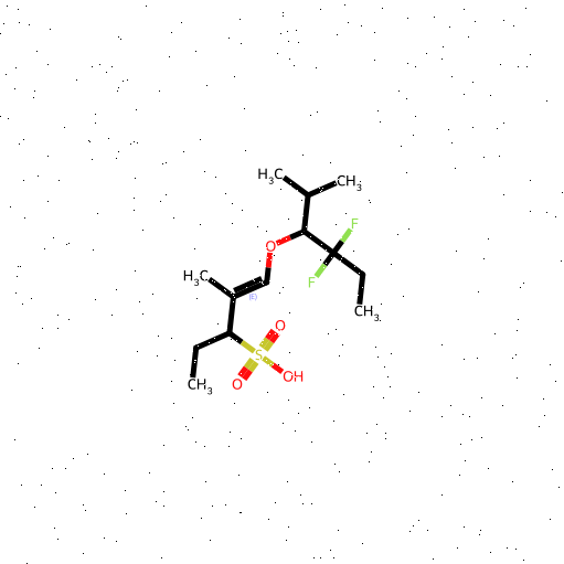 CCC(/C(C)=C/OC(C(C)C)C(F)(F)CC)S(=O)(=O)O